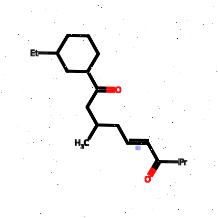 CCC1CCCC(C(=O)CC(C)C/C=C/C(=O)C(C)C)C1